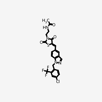 CC(=O)NCCN1C(=O)S/C(=C\c2ccc3c(cnn3Cc3ccc(Cl)cc3C(F)(F)F)c2)C1=O